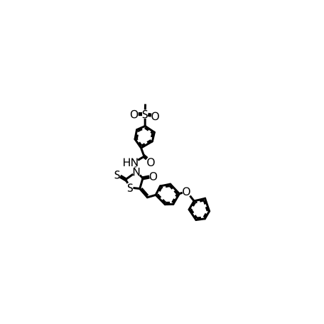 CS(=O)(=O)c1ccc(C(=O)NN2C(=O)/C(=C\c3ccc(Oc4ccccc4)cc3)SC2=S)cc1